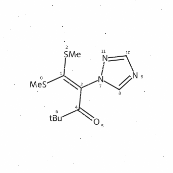 CSC(SC)=C(C(=O)C(C)(C)C)n1cncn1